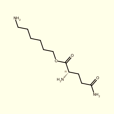 NCCCCCCOC(=O)[C@@H](N)CCC(N)=O